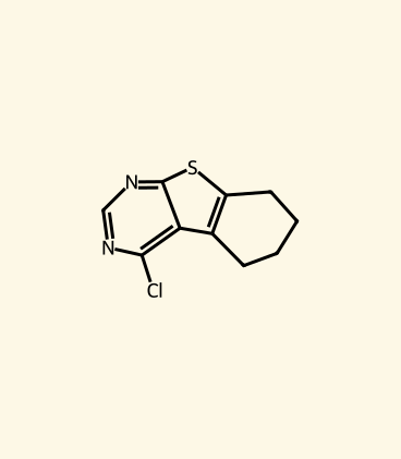 Clc1ncnc2sc3c(c12)CCCC3